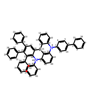 c1ccc(-c2ccc(N3c4ccccc4B4c5cc(-c6ccccc6)c(-c6ccccc6)c(-c6ccccc6)c5N(c5ccccc5)c5cccc3c54)cc2)cc1